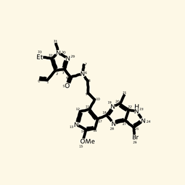 C=Cc1c(C(=O)N(C)CCCc2cnc(OC)cc2-c2nc(C)c3[nH]nc(Br)c3n2)nn(C)c1CC